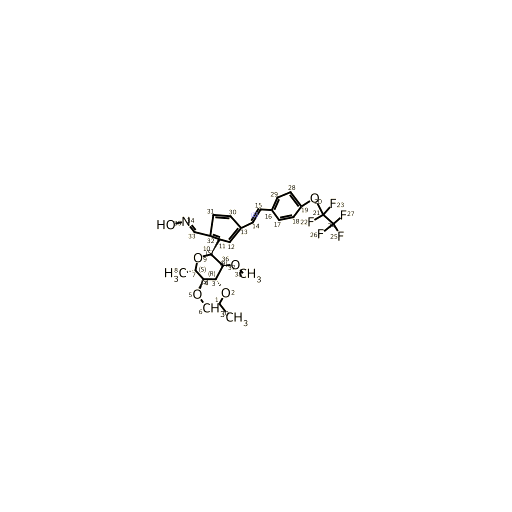 CCO[C@@H]1[C@@H](OC)[C@H](C)O[C@@H](c2cc(/C=C/c3ccc(OC(F)(F)C(F)(F)F)cc3)ccc2C=NO)[C@H]1OC